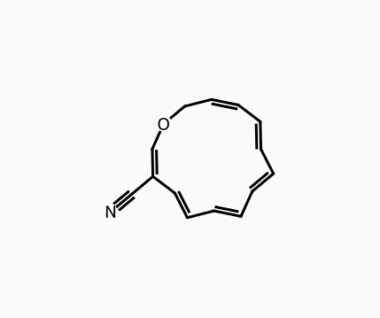 N#CC1=C\OC\C=C/C=C/C=C/C=C/C=C/1